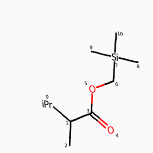 CC(C)C(C)C(=O)OC[Si](C)(C)C